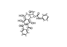 C[C@@H](OC(=O)Nc1ccccc1)[C@@]1(O)Cc2c(O)c3c(c(O)c2[C@@H](O)C1)C(=O)c1ccccc1C3=O